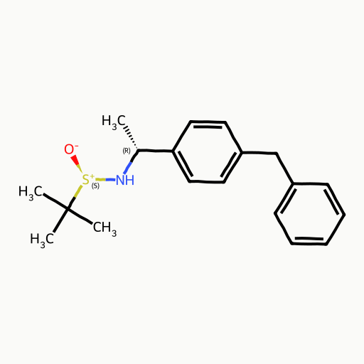 C[C@@H](N[S@+]([O-])C(C)(C)C)c1ccc(Cc2ccccc2)cc1